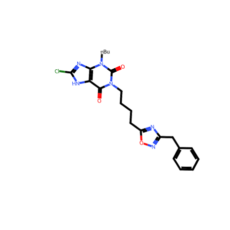 CCCCn1c(=O)n(CCCCc2nc(Cc3ccccc3)no2)c(=O)c2[nH]c(Cl)nc21